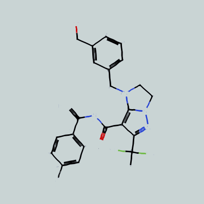 C=C(NC(=O)c1c(C(C)(F)F)nn2c1N(Cc1cccc(CO)c1)CC2)c1ccc(C(=O)O)cc1